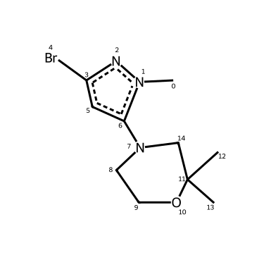 Cn1nc(Br)cc1N1CCOC(C)(C)C1